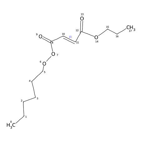 CCCCCCOOC(=O)/C=C/C(=O)OCCC